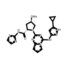 CO[C@@H]1C[C@@H](C(=O)Nc2nccs2)N(c2nc(Nc3cc(C4CC4)[nH]n3)n3cccc3n2)C1